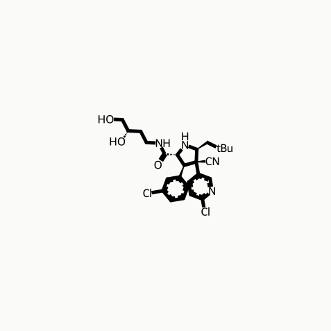 CC(C)(C)C[C@@H]1N[C@@H](C(=O)NCC[C@H](O)CO)[C@H](c2cccc(Cl)c2)[C@@]1(C#N)c1ccc(Cl)nc1